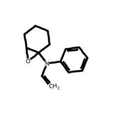 C=CN(c1ccccc1)C12CCCCC1O2